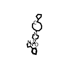 O=C(N1CCN(C2CCCCC(C3CCCC3)CCCC2)CC1)N1N=CCC1c1ccccc1